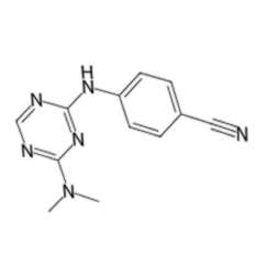 CN(C)c1ncnc(Nc2ccc(C#N)cc2)n1